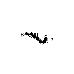 Cc1ccc(C(=O)N2CCC(OC3=CCC(COc4ccc(-c5ccc(C(=O)Nc6cccc(OCCc7cccc(Br)c7)c6)cc5)cc4)C=C3)CC2)cc1